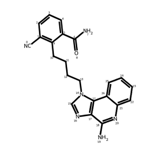 N#Cc1cccc(C(N)=O)c1CCCCn1cnc2c(N)nc3ccccc3c21